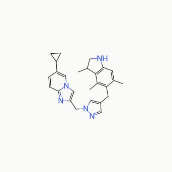 Cc1cc2c(c(C)c1Cc1cnn(Cc3cn4cc(C5CC5)ccc4n3)c1)C(C)CN2